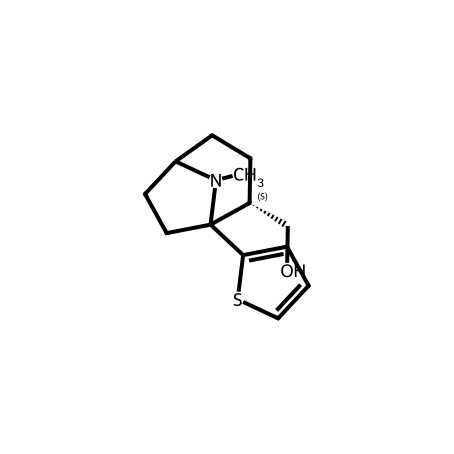 CN1C2CC[C@H](CO)C1(c1cccs1)CC2